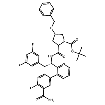 CC(C)(C)OC(=O)N1CC(OCc2ccccc2)CC1C(=O)N[C@@H](Cc1cc(F)cc(F)c1)c1ncccc1-c1ccc(F)c(C(N)=O)c1